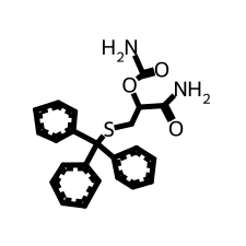 NC(=O)OC(CSC(c1ccccc1)(c1ccccc1)c1ccccc1)C(N)=O